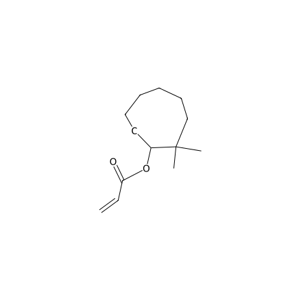 C=CC(=O)OC1CCCCCCC1(C)C